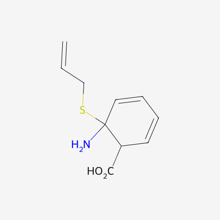 C=CCSC1(N)C=CC=CC1C(=O)O